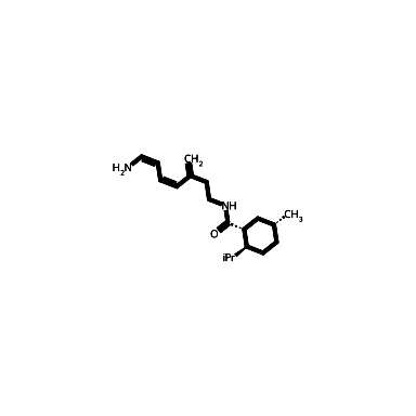 C=C(/C=C\C=C/N)CCNC(=O)[C@@H]1C[C@H](C)CC[C@H]1C(C)C